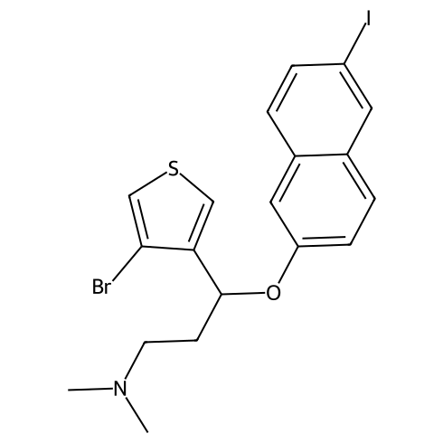 CN(C)CCC(Oc1ccc2cc(I)ccc2c1)c1cscc1Br